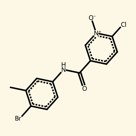 Cc1cc(NC(=O)c2ccc(Cl)[n+]([O-])c2)ccc1Br